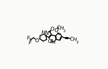 CC#Cc1cc(Br)c(C2=C(O)C3(CCC(OCC(F)F)CC3)NC2=O)c(OC)c1